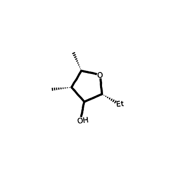 CC[C@H]1O[C@@H](C)[C@@H](C)C1O